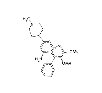 COc1cc2nc(C3CCN(C)CC3)cc(N)c2c(-c2ccccc2)c1OC